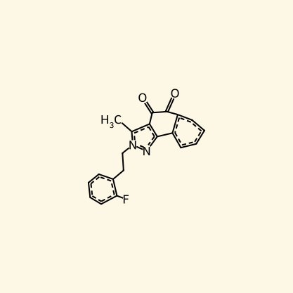 Cc1c2c(nn1CCc1ccccc1F)-c1ccccc1C(=O)C2=O